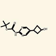 CC(C)(C)OC(=O)Nc1ncc(C2CC(O)C2)cn1